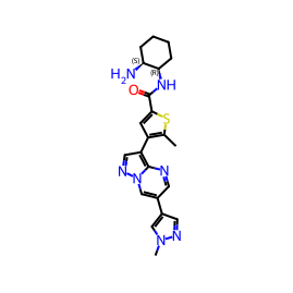 Cc1sc(C(=O)N[C@@H]2CCCC[C@@H]2N)cc1-c1cnn2cc(-c3cnn(C)c3)cnc12